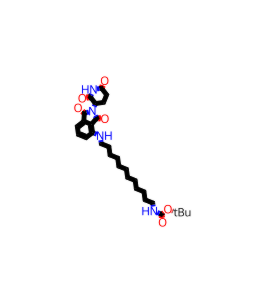 CC(C)(C)OC(=O)NCCCCCCCCCCCCNc1cccc2c1C(=O)N(C1CCC(=O)NC1=O)C2=O